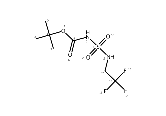 CC(C)(C)OC(=O)NS(=O)(=O)NCC(F)(F)F